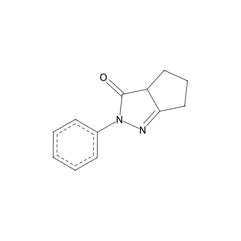 O=C1C2CCCC2=NN1c1ccccc1